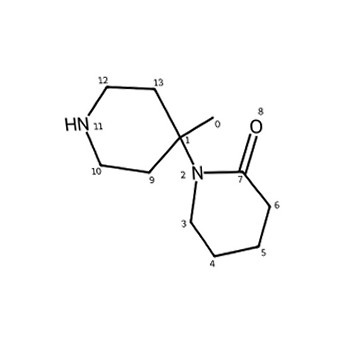 CC1(N2CCCCC2=O)CCNCC1